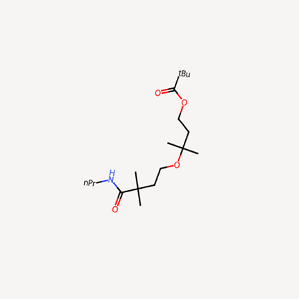 CCCNC(=O)C(C)(C)CCOC(C)(C)CCOC(=O)C(C)(C)C